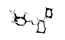 Cc1c(NC[C@H]2CCC[C@@H](c3ccccc3)O2)ncnc1C(=O)O